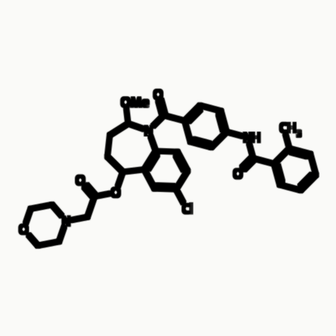 COC1CCC(OC(=O)CN2CCOCC2)c2cc(Cl)ccc2N1C(=O)c1ccc(NC(=O)c2ccccc2C)cc1